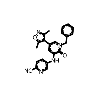 Cc1noc(C)c1-c1cc(Nc2ccc(C#N)nc2)c(=O)n(Cc2ccccc2)c1